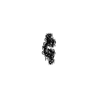 CN[C@@H](C)C(=O)N[C@H](C(=O)N1Cc2cc(C(=O)NCc3ccc(C(=O)N[C@H]4C[C@@H](C(=O)N[C@@H]5CCCc6ccccc65)N(C(=O)[C@@H](NC(=O)[C@H](C)NC)C(C)(C)C)C4)cn3)ccc2C[C@H]1C(=O)N[C@@H]1CCCc2ccccc21)C(C)(C)C